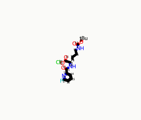 CC(C)(C)OC(=O)NCCCC[C@H](NC(=O)c1cccc(F)n1)C(=O)OCl